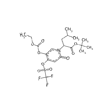 CCOC(=O)Oc1cn(C(CC(C)C)C(=O)OC(C)(C)C)c(=O)cc1OS(=O)(=O)C(F)(F)F